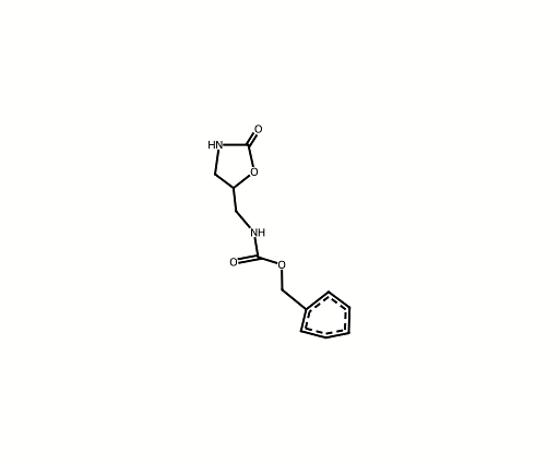 O=C(NCC1CNC(=O)O1)OCc1ccccc1